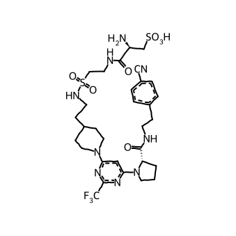 N#Cc1ccc(CCNC(=O)[C@@H]2CCCN2c2cc(N3CCC(CCNS(=O)(=O)CCNC(=O)[C@@H](N)CS(=O)(=O)O)CC3)nc(C(F)(F)F)n2)cc1